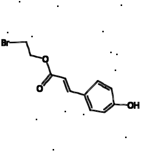 O=C(/C=C/c1ccc(O)cc1)OCCBr